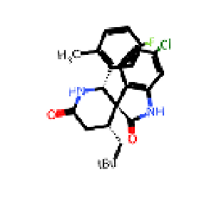 Cc1ccc(F)cc1[C@H]1NC(=O)C[C@@H](CC(C)(C)C)[C@]12C(=O)Nc1cc(Cl)ccc12